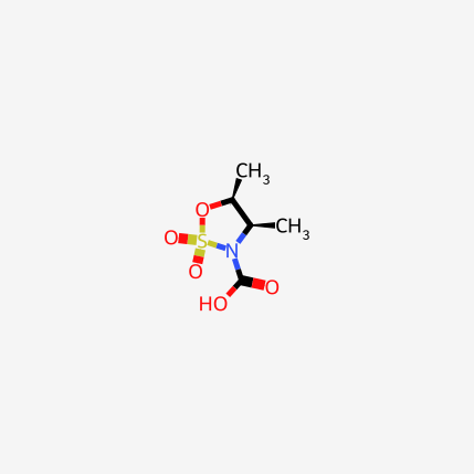 C[C@@H]1OS(=O)(=O)N(C(=O)O)[C@@H]1C